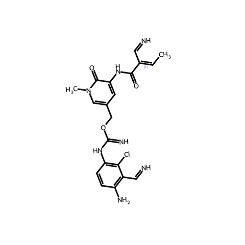 C/C=C(\C=N)C(=O)Nc1cc(COC(=N)Nc2ccc(N)c(C=N)c2Cl)cn(C)c1=O